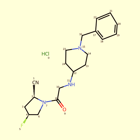 Cl.N#C[C@@H]1C[C@H](F)CN1C(=O)CNC1CCN(Cc2ccccc2)CC1